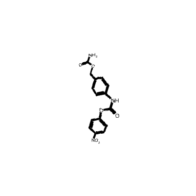 NC(=O)OCc1ccc(NC(=O)Oc2ccc([N+](=O)[O-])cc2)cc1